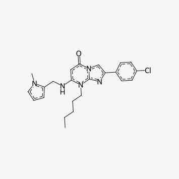 CCCCCn1c(NCc2cccn2C)cc(=O)n2cc(-c3ccc(Cl)cc3)nc12